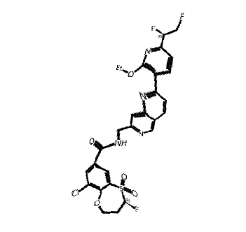 CCOc1nc([C@@H](F)CF)ccc1-c1ccc2cnc(CNC(=O)c3cc(Cl)c4c(c3)S(=O)(=O)[C@@H](F)CCO4)cc2n1